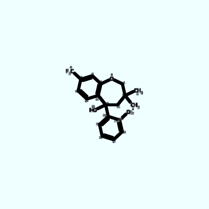 CC1(C)COc2cc(C(F)(F)F)ccc2C(O)(c2cccc[n+]2[O-])C1